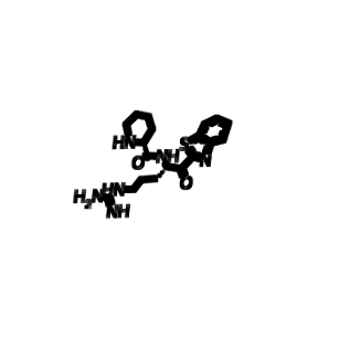 N=C(N)NCCC[C@H](NC(=O)[C@@H]1CCCCN1)C(=O)c1nc2ccccc2s1